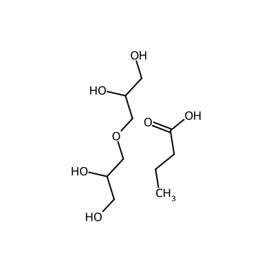 CCCC(=O)O.OCC(O)COCC(O)CO